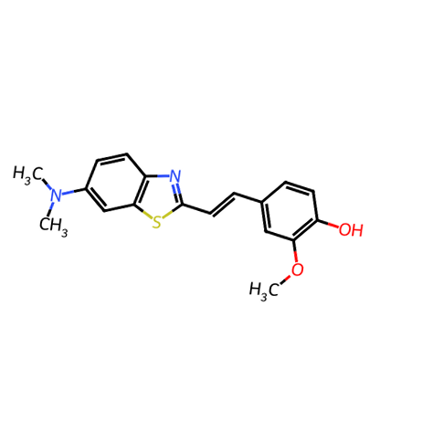 COc1cc(/C=C/c2nc3ccc(N(C)C)cc3s2)ccc1O